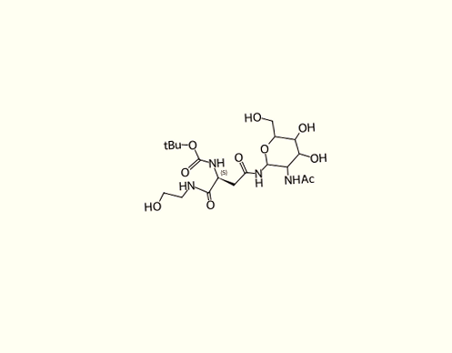 CC(=O)NC1C(NC(=O)C[C@H](NC(=O)OC(C)(C)C)C(=O)NCCO)OC(CO)C(O)C1O